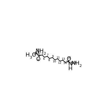 CN(N)C(=O)CCCCCCCCCCC(=O)NN